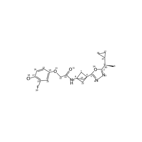 C[C@@H](c1nnc(C23CC(NC(=O)COc4ccc(Cl)c(F)c4)(C2)C3)o1)C1CC1